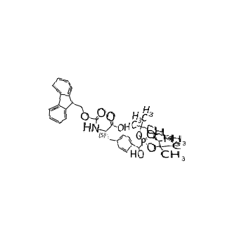 CC(C)(C)OP(=O)(OC(C)(C)C)C(O)c1ccc(C[C@H](NC(=O)OCC2c3ccccc3-c3ccccc32)C(=O)O)cc1